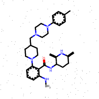 BNc1cccc(N2CCC(CN3CCN(c4ccc(C)cc4)CC3)CC2)c1C(=O)NC1CCC(=C)NC1=C